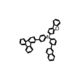 c1cc(-c2ccc3ccccc3c2)cc(N(c2ccc(-c3ccc4c5ccccc5c5ccccc5c4c3)cc2)c2ccc3c(c2)oc2ccccc23)c1